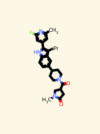 Cc1cc(-c2[nH]c3ccc(C4CCN(C(=O)C5CC(=O)N(C)C5)CC4)cc3c2C(C)C)cc(F)n1